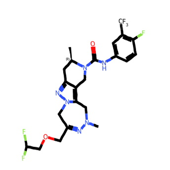 C[C@@H]1Cc2nn3c(c2CN1C(=O)Nc1ccc(F)c(C(F)(F)F)c1)CN(C)N=C(COCC(F)F)C3